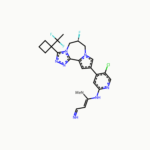 CN/C(=C\C=N)Nc1cc(-c2cc3n(c2)C[C@H](F)Cn2c-3nnc2C2(C(C)(F)F)CCC2)c(Cl)cn1